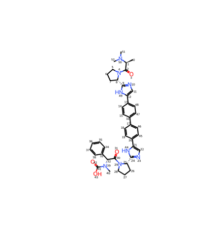 C[C@@H](C(=O)N1CCC[C@H]1c1ncc(-c2ccc(-c3ccc(-c4cnc([C@@H]5CCCN5C(=O)[C@@H](c5ccccc5)N(C)C(=O)O)[nH]4)cc3)cc2)[nH]1)N(C)C